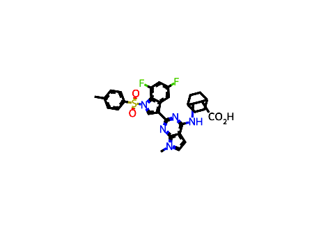 Cc1ccc(S(=O)(=O)n2cc(-c3nc(NC4C5CCC(CC5)C4C(=O)O)c4ccn(C)c4n3)c3cc(F)cc(F)c32)cc1